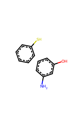 Nc1cccc(O)c1.Sc1ccccc1